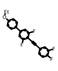 CCOc1ccc(-c2cc(F)c(C#Cc3ccc(F)c(F)c3)c(F)c2)cc1